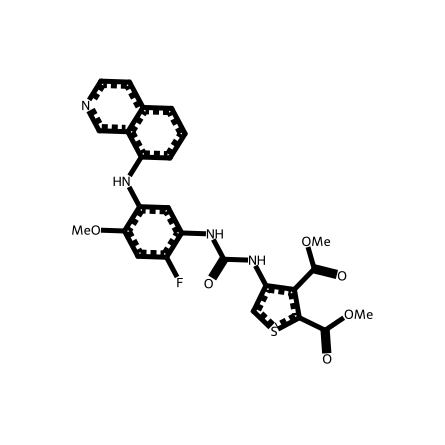 COC(=O)c1scc(NC(=O)Nc2cc(Nc3cccc4ccncc34)c(OC)cc2F)c1C(=O)OC